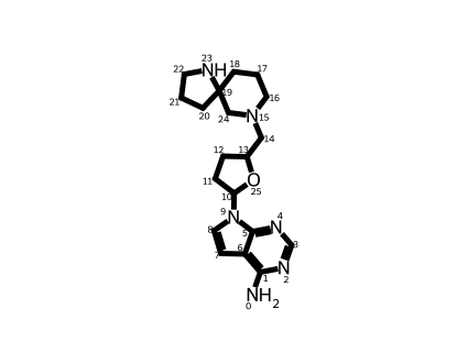 Nc1ncnc2c1ccn2C1CCC(CN2CCCC3(CCCN3)C2)O1